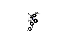 CC(=O)N1C(=O)/C(=C(\N[C@H]2CC[C@H](CN3CCN(C)CC3)CC2)c2ccccc2)c2ccc([N+](=O)[O-])cc21